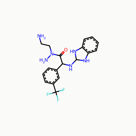 NCCN(N)C(=O)C(NC1Nc2ccccc2N1)c1cccc(C(F)(F)F)c1